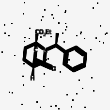 CCOC(=O)[C@@]12CC[C@@H](CN1[C@@H](C)c1ccccc1)C(=O)C2